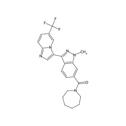 Cn1nc(-c2cnc3ccc(C(F)(F)F)cn23)c2ccc(C(=O)N3CCCCCC3)cc21